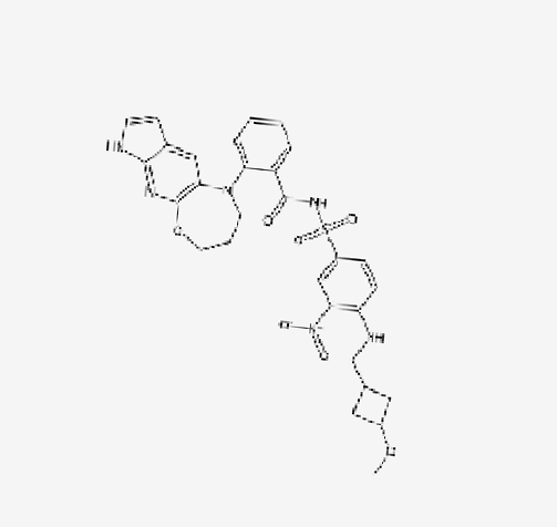 COC1CC(CNc2ccc(S(=O)(=O)NC(=O)c3ccccc3N3CCCOc4nc5[nH]ccc5cc43)cc2[N+](=O)[O-])C1